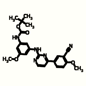 COc1cc(NC(=O)OC(C)(C)C)cc(Nc2nccc(-c3ccc(OC)c(C#N)c3)n2)c1